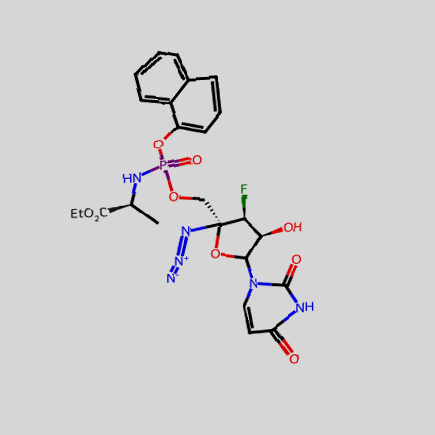 CCOC(=O)[C@H](C)NP(=O)(OC[C@@]1(N=[N+]=[N-])OC(n2ccc(=O)[nH]c2=O)[C@H](O)[C@@H]1F)Oc1cccc2ccccc12